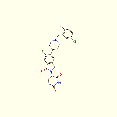 O=C1CCC(N2Cc3cc(C4CCN(Cc5cc(Cl)ccc5C(F)(F)F)CC4)c(F)cc3C2=O)C(=O)N1